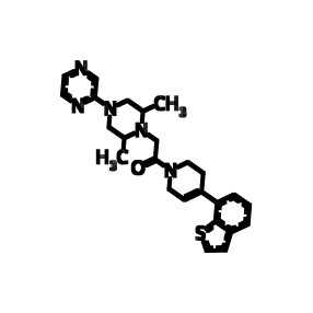 CC1CN(c2cnccn2)CC(C)N1CC(=O)N1CC=C(c2cccc3ccsc23)CC1